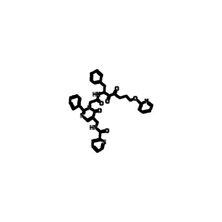 O=C(Cn1c(-c2ccccc2)ncc(CNC(=O)c2ccccn2)c1=O)NC(Cc1ccccc1)C(=O)C(=O)CCCOc1ccccn1